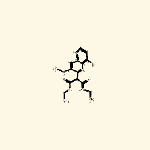 CCOC(=O)C(C(=O)OCC)c1nc2c(Cl)ccnc2cc1OC